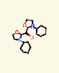 O=C(C1OCCN1C1CCCCC1)C1OCCN1C1CCCCC1